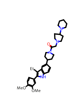 CCc1c(-c2ccc(OC)c(OC)c2)[nH]c2ccc(C3CCN(C(=O)CN4CCC(N5CCCCC5)CC4)CC3)cc12